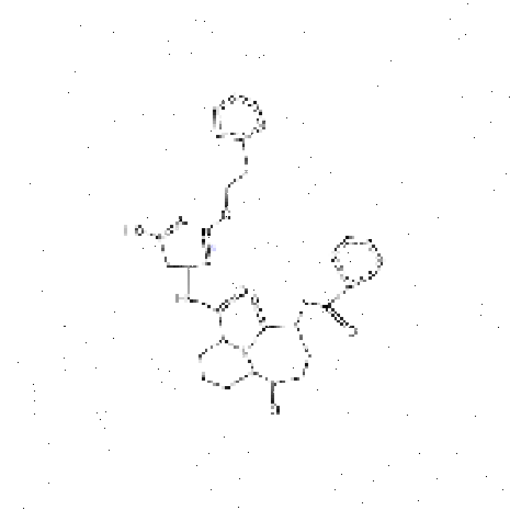 O=C(O)CC(/C=N/OCCc1ccccc1)NC(=O)C1CCCN2C(=O)CCC(NC(=O)c3ccccc3)C(=O)N12